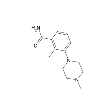 Cc1c(C(N)=O)cccc1N1CCN(C)CC1